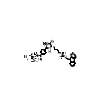 CC(C)(C)OC(=O)Nc1ccc(C(=O)N[C@@H](CCCCNC(=O)OCC2c3ccccc3-c3ccccc32)C(=O)O)cc1